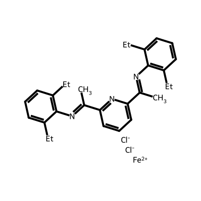 CCc1cccc(CC)c1N=C(C)c1cccc(C(C)=Nc2c(CC)cccc2CC)n1.[Cl-].[Cl-].[Fe+2]